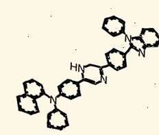 C1=C(c2ccc(N(c3ccccc3)c3cccc4ccccc34)cc2)NCC(c2ccc(-c3nc4ccccc4n3-c3ccccc3)cc2)=N1